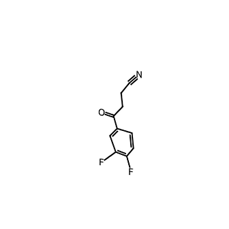 N#CCCC(=O)c1ccc(F)c(F)c1